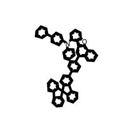 c1ccc(-c2ccc(N(c3ccccc3)c3cccc4oc5c6ccccc6c(-c6ccc(-c7ccc8c(c7)-c7ccccc7C87c8ccccc8-c8ccccc87)cc6)cc5c34)cc2)cc1